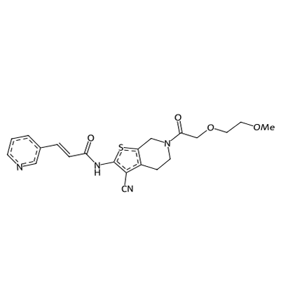 COCCOCC(=O)N1CCc2c(sc(NC(=O)C=Cc3cccnc3)c2C#N)C1